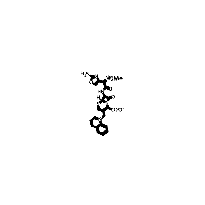 CO/N=C(\C(=O)NC1C(=O)N2C(C(=O)[O-])=C(C[n+]3cccc4ccccc43)CS[C@H]12)c1coc(N)n1